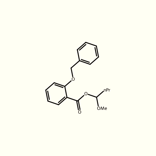 CCCC(OC)OC(=O)c1ccccc1OCc1ccccc1